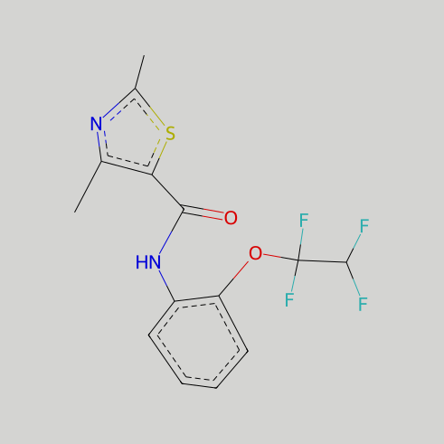 Cc1nc(C)c(C(=O)Nc2ccccc2OC(F)(F)C(F)F)s1